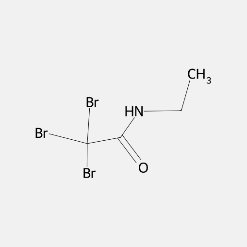 CCNC(=O)C(Br)(Br)Br